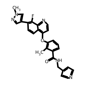 Cc1c(Oc2ccnc3c(F)c(-c4cnn(C)c4)ccc23)cccc1C(=O)NCc1ccncc1